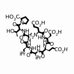 CC(C)C[C@H](NC(=O)[C@@H](NC(=O)[C@H](CCC(=O)O)NC(=O)[C@H](CC(=O)O)NC(=O)[C@@H](N)CCC(=O)O)C(C)C)C(=O)N[C@@H](C)C(=O)N[C@H](C(=O)N1CCC[C@H]1C(=O)O)[C@@H](C)O